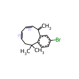 C=C1/C=C\C=C/CC(C)(C)c2ccc(Br)cc21